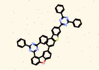 c1ccc(-c2nc(-c3ccccc3)nc(-c3ccc4c(c3)sc3cc(-c5ccc6oc7cccc(-c8nc(-c9ccccc9)nc(-c9ccccc9)n8)c7c6c5)ccc34)n2)cc1